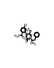 COC(=C/N(C)[C@H](C)Cc1ccccc1)/C(=C\C=O)c1cc(Cl)ccc1C(C)=O